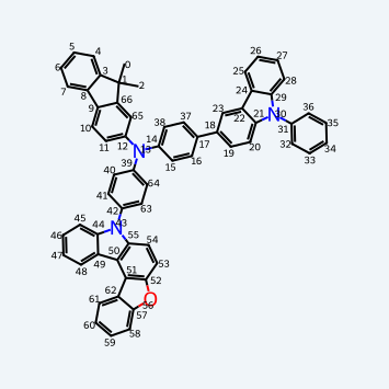 CC1(C)c2ccccc2-c2ccc(N(c3ccc(-c4ccc5c(c4)c4ccccc4n5-c4ccccc4)cc3)c3ccc(-n4c5ccccc5c5c6c(ccc54)oc4ccccc46)cc3)cc21